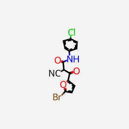 N#CC(C(=O)Nc1ccc(Cl)cc1)C(=O)c1ccc(Br)o1